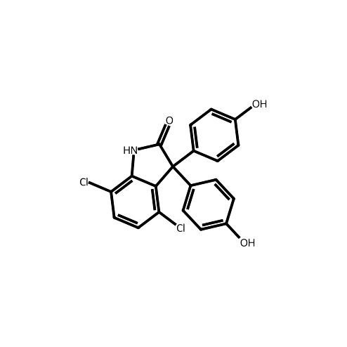 O=C1Nc2c(Cl)ccc(Cl)c2C1(c1ccc(O)cc1)c1ccc(O)cc1